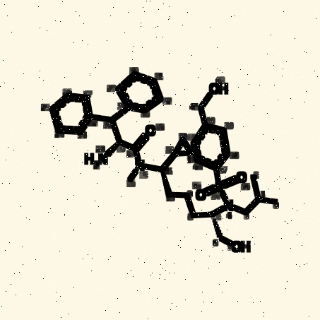 CC(C)CN([C@H](CO)CCC[C@H](C1CC1)N(C)C(=O)[C@@H](N)C(c1ccccc1)c1ccccc1)S(=O)(=O)c1ccc(CO)cc1